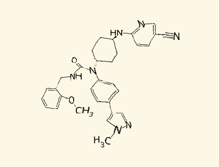 COc1ccccc1CNC(=O)N(c1ccc(-c2cnn(C)c2)cc1)[C@H]1CC[C@H](Nc2ccc(C#N)cn2)CC1